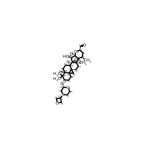 C[C@@H]1C[C@H](C=O)O[C@H]2C1[C@@]1(C)CC[C@@]34CC35CC[C@H](O[C@H]3CN(C6COC6)CCO3)C(C)(C)[C@@H]5CC[C@H]4[C@]1(C)[C@H]2O